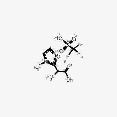 CC(C(=O)O)c1nccn1C.O=S(=O)(O)C(F)(F)F